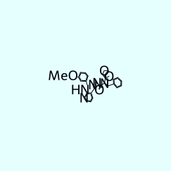 COc1cccc(CNc2ncccc2-c2nnc(N(Cc3ccccc3)C3=COCO3)o2)c1